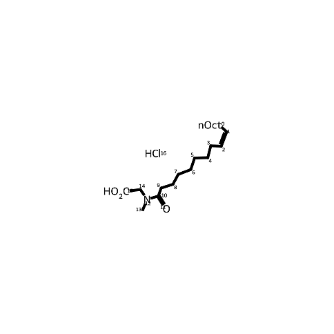 CCCCCCCC/C=C\CCCCCCCC(=O)N(C)CC(=O)O.Cl